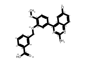 COc1ccc(-c2nc(N)nc3ccc(Cl)cc23)cc1OCc1cccc(C(=O)O)c1